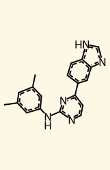 Cc1cc(C)cc(Nc2nccc(-c3ccc4[nH]cnc4c3)n2)c1